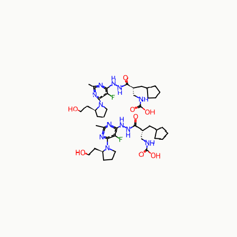 Cc1nc(NNC(=O)[C@@H](CNC(=O)O)CC2CCCC2)c(F)c(N2CCC[C@H]2CCO)n1.Cc1nc(NNC(=O)[C@@H](CNC(=O)O)CC2CCCC2)c(F)c(N2CCC[C@H]2CCO)n1